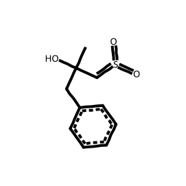 CC(O)(C=S(=O)=O)Cc1ccccc1